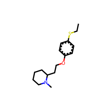 CCSc1ccc(OCCC2CCCCN2C)cc1